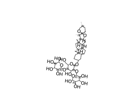 C[C@@H]1CC[C@@]2(OC1)OC1C[C@H]3[C@@H]4CC=C5CC(O[C@@H]6OC(CO)[C@@H](O[C@@H]7OC(O)[C@H](O)C(O)[C@@H]7O)C(O)[C@@H]6O[C@@H]6OC(O)[C@H](O)C(O)[C@@H]6O)CC[C@]5(C)[C@H]4CC[C@]3(C)[C@H]1[C@@H]2C